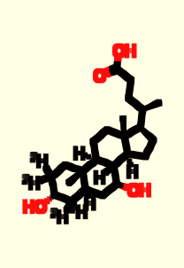 [2H]C1([2H])C[C@@]2(C)[C@H](C[C@H](O)[C@@H]3[C@@H]2CC[C@]2(C)[C@@H]([C@H](C)CCC(=O)O)CC[C@@H]32)C([2H])([2H])[C@@H]1O